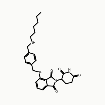 CCCCCCNCc1ccc(CNc2cccc3c2C(=O)N(C2CCC(=O)NC2=O)C3=O)cc1